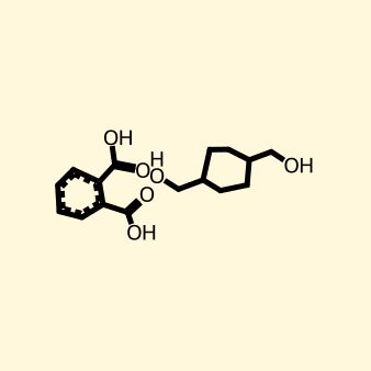 O=C(O)c1ccccc1C(=O)O.OCC1CCC(CO)CC1